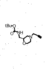 C#CCN1CCO[C@@H](CNC(=O)OC(C)(C)C)C1